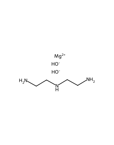 NCCNCCN.[Mg+2].[OH-].[OH-]